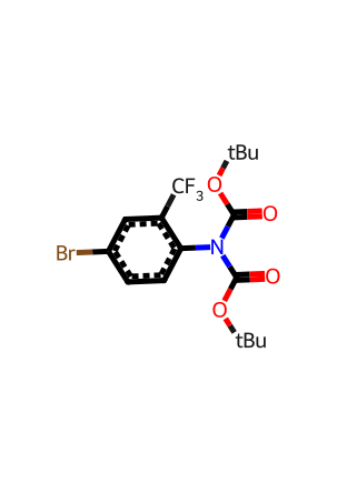 CC(C)(C)OC(=O)N(C(=O)OC(C)(C)C)c1ccc(Br)cc1C(F)(F)F